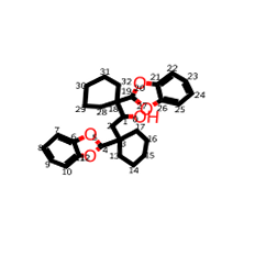 OC(CC1(C2Oc3ccccc3O2)CCCCC1)C1(C2Oc3ccccc3O2)CCCCC1